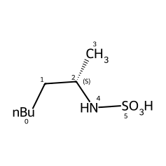 CCCCC[C@H](C)NS(=O)(=O)O